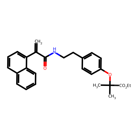 C=C(C(=O)NCCc1ccc(OC(C)(C)C(=O)OCC)cc1)c1cccc2ccccc12